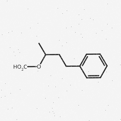 CC(CCc1ccccc1)OC(=O)O